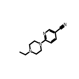 CCN1CCN(c2ccc(C#N)cn2)CC1